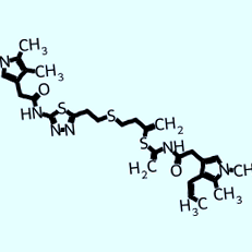 C=C(CCSCCc1nnc(NC(=O)Cc2c[nH]c(C)c2C)s1)SC(=C)NC(=O)Cc1cn(C)c(C)c1/C=C\C